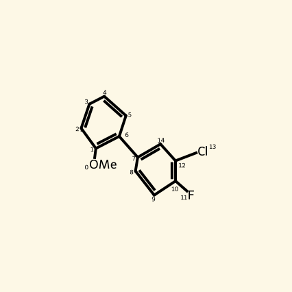 COc1[c]cccc1-c1ccc(F)c(Cl)c1